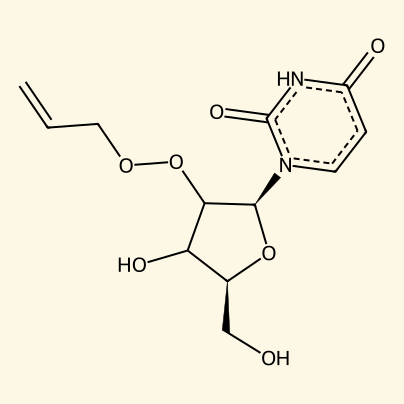 C=CCOOC1C(O)[C@H](CO)O[C@@H]1n1ccc(=O)[nH]c1=O